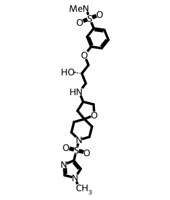 CNS(=O)(=O)c1cccc(OC[C@@H](O)CNC2COC3(CCN(S(=O)(=O)c4cn(C)cn4)CC3)C2)c1